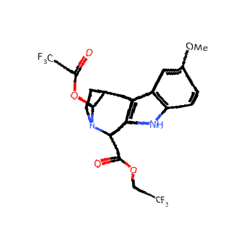 COc1ccc2[nH]c3c(c2c1)C1CCN(C3C(=O)OCC(F)(F)F)C1OC(=O)C(F)(F)F